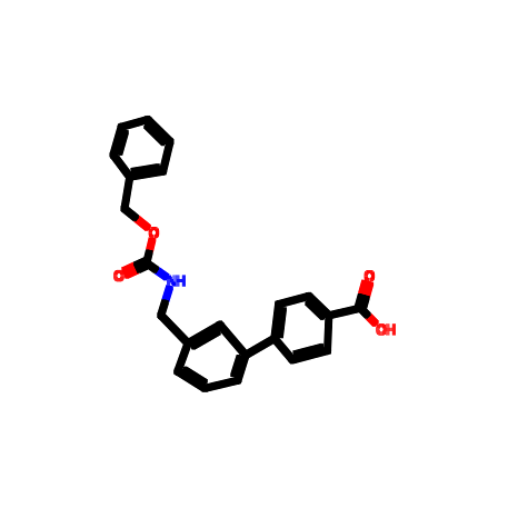 O=C(NCc1cccc(-c2ccc(C(=O)O)cc2)c1)OCc1ccccc1